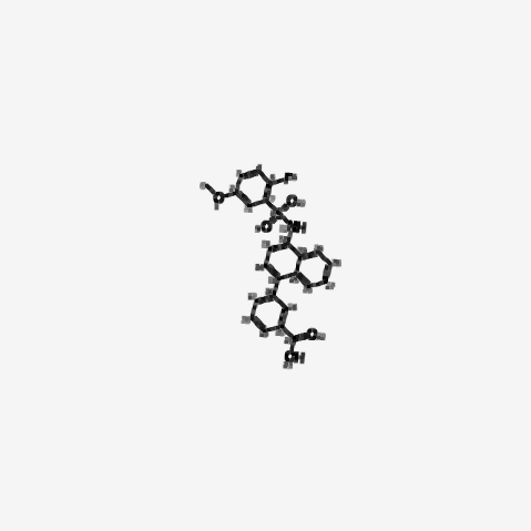 COc1ccc(F)c(S(=O)(=O)Nc2ccc(-c3cccc(C(=O)O)c3)c3ccccc23)c1